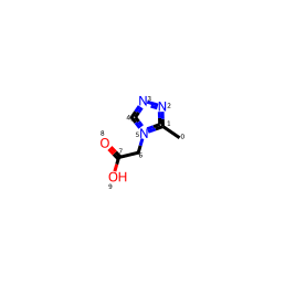 Cc1nn[c]n1CC(=O)O